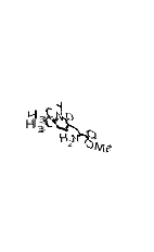 COC(=O)C(N)CC1CCC(C)(C)NC1=O